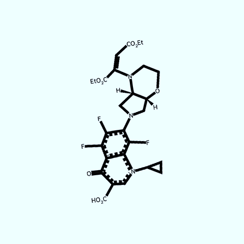 CCOC(=O)/C=C(/C(=O)OCC)N1CCO[C@@H]2CN(c3c(F)c(F)c4c(=O)c(C(=O)O)cn(C5CC5)c4c3F)C[C@@H]21